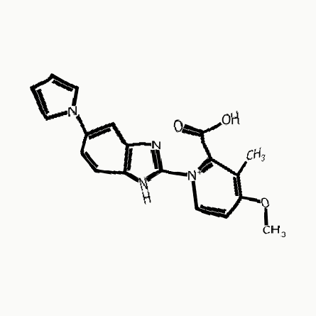 COc1cc[n+](-c2nc3cc(-n4cccc4)ccc3[nH]2)c(C(=O)O)c1C